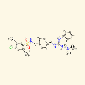 Cc1cc(S(=O)(=O)NC[C@H]2CC[C@H](CNc3nc(N(C)C)c4ccccc4n3)CC2)c(C)cc1Cl